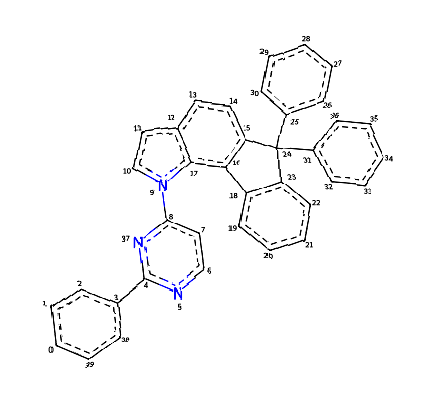 c1ccc(-c2nccc(-n3ccc4ccc5c(c43)-c3ccccc3C5(c3ccccc3)c3ccccc3)n2)cc1